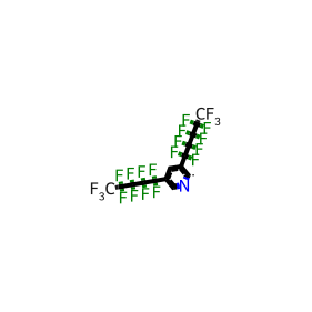 FC(F)(F)C(F)(F)C(F)(F)C(F)(F)C(F)(F)c1[c]ncc(C(F)(F)C(F)(F)C(F)(F)C(F)(F)C(F)(F)F)c1